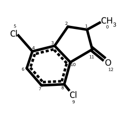 CC1Cc2c(Cl)ccc(Cl)c2C1=O